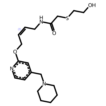 O=C(CSCCO)NC/C=C\COc1cc(CN2CCCCC2)ccn1